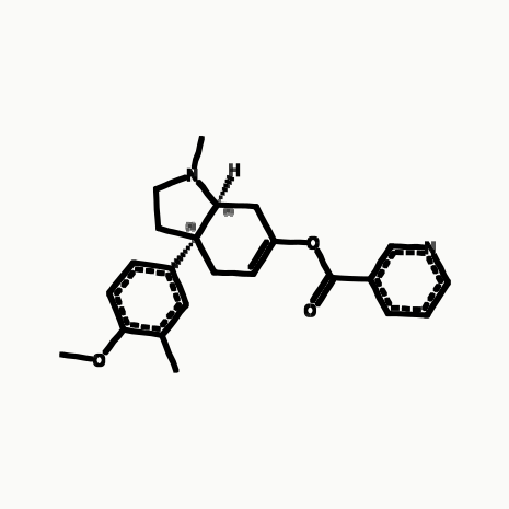 COc1ccc([C@@]23CC=C(OC(=O)c4cccnc4)C[C@@H]2N(C)CC3)cc1C